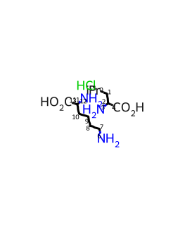 CC(C)CC(N)C(=O)O.Cl.NCCCCC(N)C(=O)O